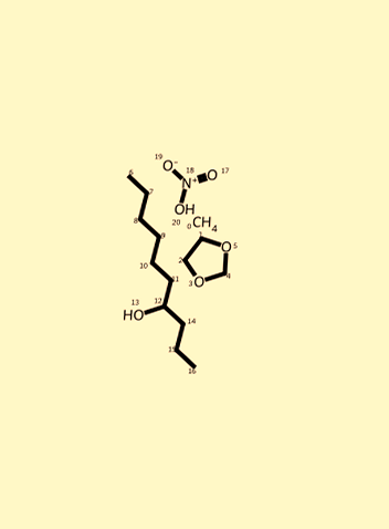 C.C1COCO1.CCCCCCC(O)CCC.O=[N+]([O-])O